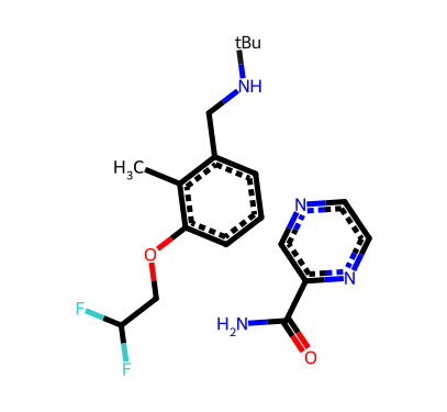 Cc1c(CNC(C)(C)C)cccc1OCC(F)F.NC(=O)c1cnccn1